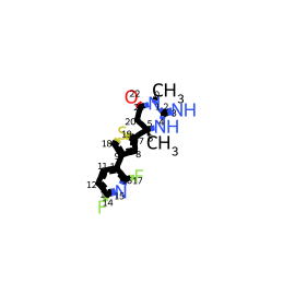 CN1C(=N)N[C@](C)(c2cc(-c3ccc(F)nc3F)cs2)CC1=O